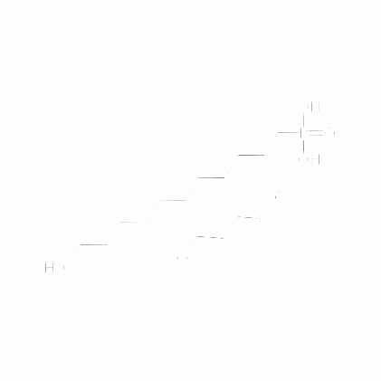 CCCCCCCCCCCCP(=O)(O)O.COCCCO